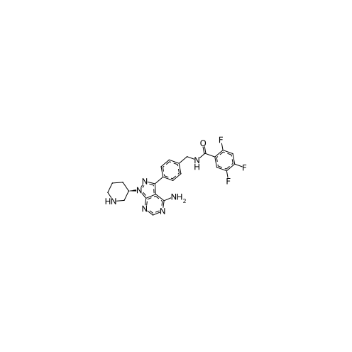 Nc1ncnc2c1c(-c1ccc(CNC(=O)c3cc(F)c(F)cc3F)cc1)nn2[C@@H]1CCCNC1